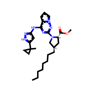 CCCCCCCC[C@@H]1C[C@@H](C(=O)OC)N(c2nc(Nc3cc(C4(C)CC4)[nH]n3)c3cccn3n2)C1